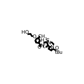 Cc1cc(C(=O)N2CCC3(CC2)c2ccc(C(=O)C(C)(C)C)n2CCN3C)ccc1OCCCO